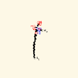 CCCCCCCCCCCCCCCCCCOCC(NC(C)=O)C(=O)N[C@@H](CCC(=O)O)C(=O)O